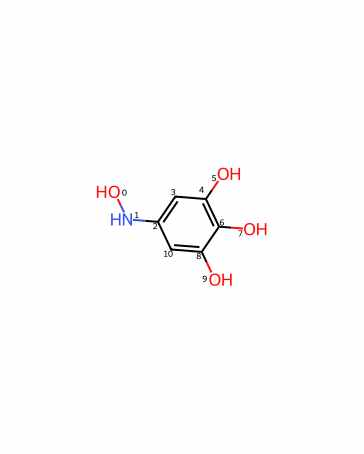 ONc1cc(O)c(O)c(O)c1